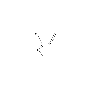 C=N/C(Cl)=N\C